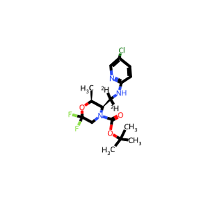 [2H]C([2H])(Nc1ccc(Cl)cn1)[C@@H]1[C@H](C)OC(F)(F)CN1C(=O)OC(C)(C)C